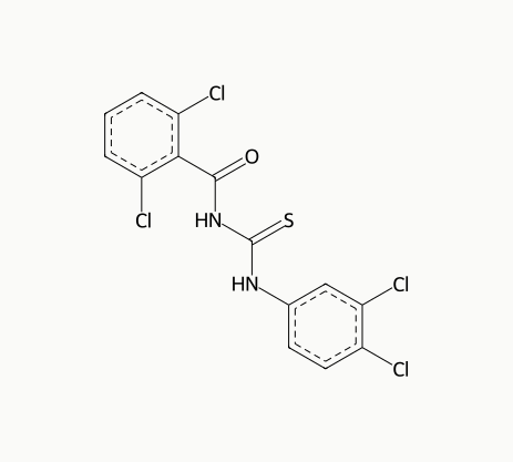 O=C(NC(=S)Nc1ccc(Cl)c(Cl)c1)c1c(Cl)cccc1Cl